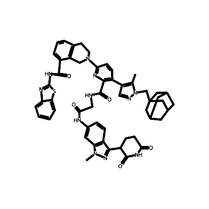 Cc1c(-c2ccc(N3CCc4cccc(C(=O)Nc5nc6ccccc6s5)c4C3)nc2C(=O)NCC(=O)Nc2ccc3c(C4CCC(=O)NC4=O)nn(C)c3c2)cnn1CC12CC3CC(CC(C3)C1)C2